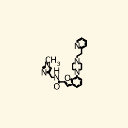 Cn1cnc(CNC(=O)c2cc3cccc(N4CCN(CCc5ccccn5)CC4)c3o2)c1